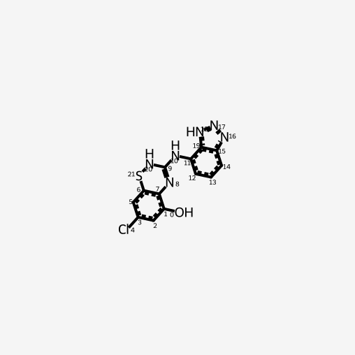 Oc1cc(Cl)cc2c1N=C(Nc1cccc3nn[nH]c13)NS2